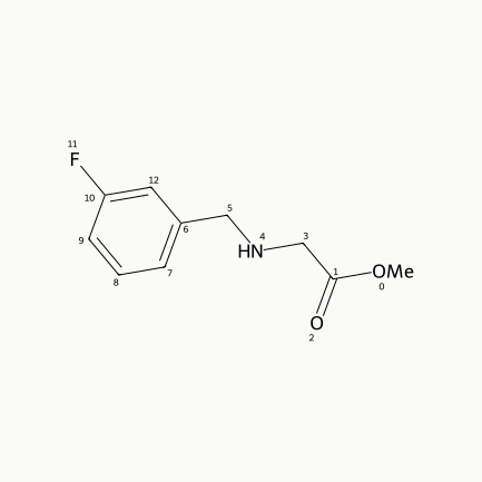 COC(=O)CNCc1cccc(F)c1